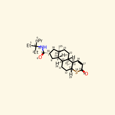 CCCC(CC)(CC)NC(=O)[C@H]1C[C@H]2[C@@H]3CC[C@H]4SC(=O)C=C[C@]4(C)[C@H]3CC[C@]2(C)C1